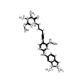 CCCNc1nc(NC2=CC3C(=CN(C)N3C)C=C2)ncc1C#CCCCNC(=O)[C@H](C)N(C)C(=O)OC(C)(C)C